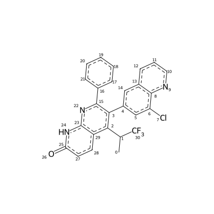 CC(c1c(-c2cc(Cl)c3ncccc3c2)c(-c2ccccc2)nc2[nH]c(=O)ccc12)C(F)(F)F